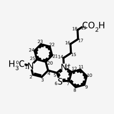 CN1C=CC(c2sc3ccccc3[n+]2CCCCCC(=O)O)c2ccccc21